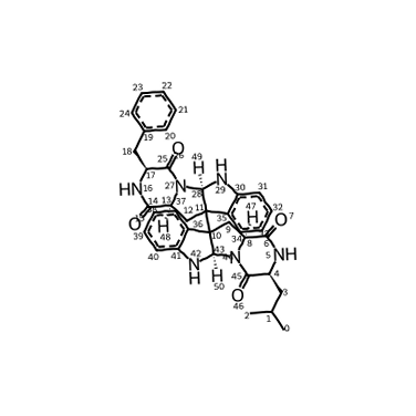 CC(C)C[C@@H]1NC(=O)[C@@H]2CC3(C45C[C@H]6C(=O)N[C@@H](Cc7ccccc7)C(=O)N6[C@H]4Nc4ccccc45)c4ccccc4N[C@@H]3N2C1=O